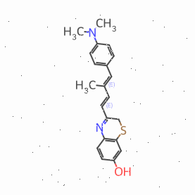 CC(/C=C/C1=Nc2ccc(O)cc2SC1)=C\c1ccc(N(C)C)cc1